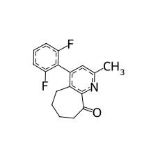 Cc1cc(-c2c(F)cccc2F)c2c(n1)C(=O)CCCC2